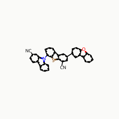 N#Cc1ccc2c3ccccc3n(-c3cccc4c3sc3c(C#N)cc(-c5ccc6oc7ccccc7c6c5)cc34)c2c1